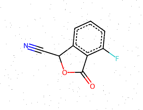 N#CC1OC(=O)c2c(F)cccc21